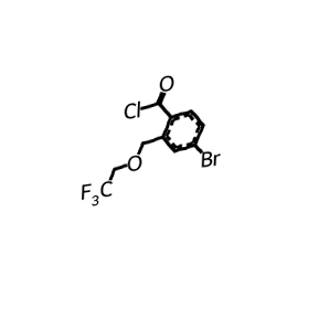 O=C(Cl)c1ccc(Br)cc1COCC(F)(F)F